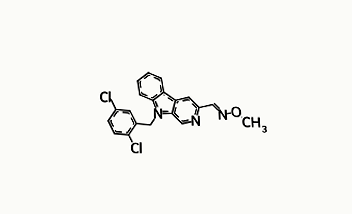 CO/N=C/c1cc2c3ccccc3n(Cc3cc(Cl)ccc3Cl)c2cn1